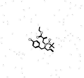 C=CCC(Cc1ccc(Cl)cc1)N(CC(=C)C(=O)OCC)[S+]([O-])C(C)(C)C